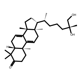 C[C@H](CC[CH][C@@](C)(O)CO)[C@H]1CC[C@@]2(C)C3=CC[C@H]4C(C)(C)C(=O)CC[C@]4(C)C3=CC[C@]12C